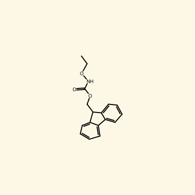 CCONC(=O)OCC1c2ccccc2-c2ccccc21